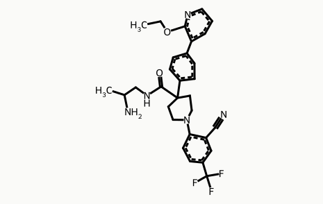 CCOc1ncccc1-c1ccc(C2(C(=O)NCC(C)N)CCN(c3ccc(C(F)(F)F)cc3C#N)CC2)cc1